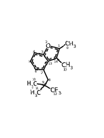 Cc1oc2cccc(CC(C)(C)C(F)(F)F)c2c1C